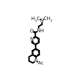 CC(=O)N1CCCc2cc(-c3ccc(C(=O)NCCN(C)C)nc3)ccc21